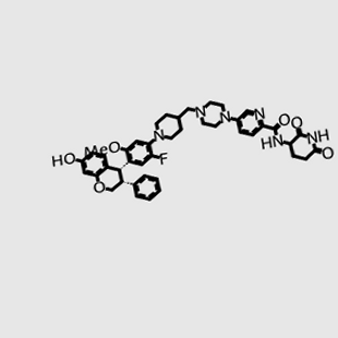 COc1cc(N2CCC(CN3CCN(c4ccc(C(=O)NC5CCC(=O)NC5=O)nc4)CC3)CC2)c(F)cc1[C@H]1c2ccc(O)cc2OC[C@H]1c1ccccc1